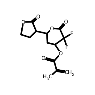 C=C(C)C(=O)OC1CC(C2CCOC2=O)OC(=O)C1(F)F